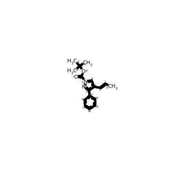 CC=Cc1cn(C(=O)OC(C)(C)C)nc1-c1ccccc1